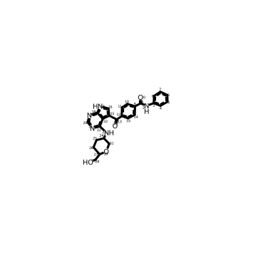 O=C(Nc1ccccc1)c1ccc(C(=O)c2c[nH]c3ncnc(NC4CCC(CO)OC4)c23)cc1